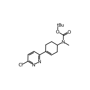 CN(C(=O)OC(C)(C)C)C1CC=C(c2ccc(Cl)nn2)CC1